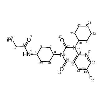 CC(C)CC(=O)N[C@H]1CC[C@@H](n2c(=O)c3cc(F)cnc3n(C3CCSCC3)c2=O)CC1